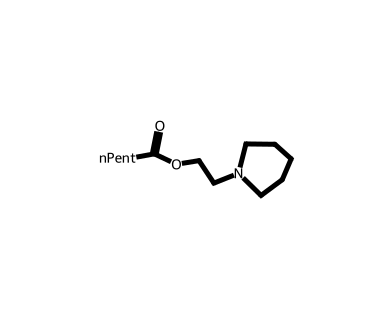 CCCCCC(=O)OCCN1CCCCC1